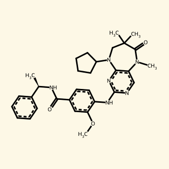 COc1cc(C(=O)N[C@H](C)c2ccccc2)ccc1Nc1ncc2c(n1)N(C1CCCC1)CC(C)(C)C(=O)N2C